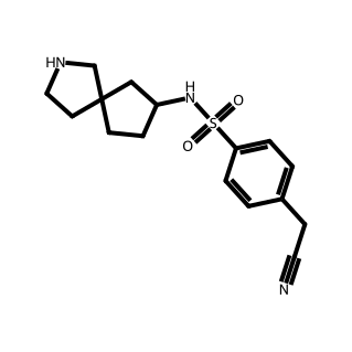 N#CCc1ccc(S(=O)(=O)NC2CCC3(CCNC3)C2)cc1